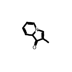 CC1=CN2C=CC=CC2C1=O